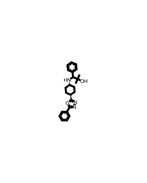 CC(C)(O)C(N[C@H]1CC[C@H](c2nnc(-c3ccccc3)o2)CC1)c1ccccc1